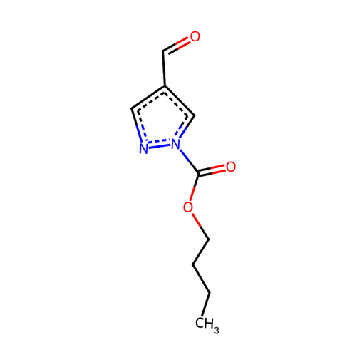 CCCCOC(=O)n1cc(C=O)cn1